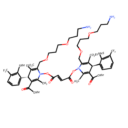 CCOC(=O)C1=C(COCCCOCCCN)N(OC(=O)/C=C/C(=O)ON2C(C)=C(C(=O)OC)[C@H](c3cccc(C(F)(F)F)c3SC)C(C(=O)OCC)=C2COCCCOCCCN)C(C)=C(C(=O)OC)[C@@H]1c1cccc(C(F)(F)F)c1SC